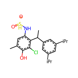 Cc1cc(N[SH](=O)=O)c(C(C)c2cc(C(C)C)cc(C(C)C)c2)c(Cl)c1O